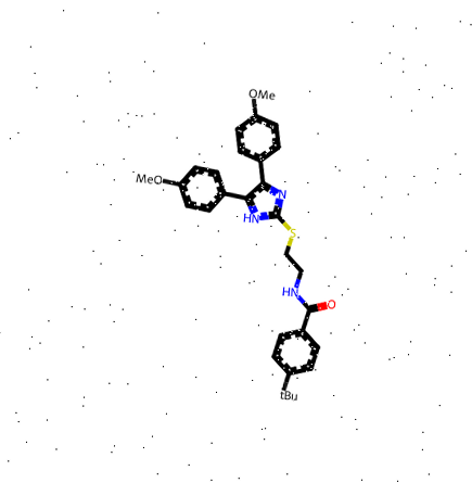 COc1ccc(-c2nc(SCCNC(=O)c3ccc(C(C)(C)C)cc3)[nH]c2-c2ccc(OC)cc2)cc1